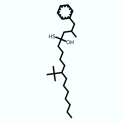 CCCCCCCC(CCCCC(O)(S)CC(C)Cc1ccccc1)C(C)(C)C